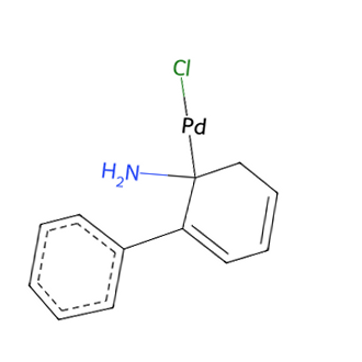 N[C]1([Pd][Cl])CC=CC=C1c1ccccc1